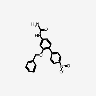 NC(=O)Nc1ccc(-c2ccc([N+](=O)[O-])cc2)c(OCc2ccccc2)c1